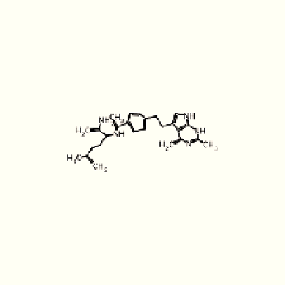 C=C(C)CCC(NC(=C)c1ccc(CCc2c[nH]c3c2C(=C)N=C(C)N3)cc1)C(=C)N